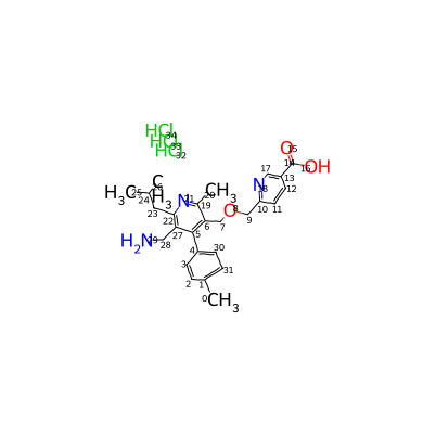 Cc1ccc(-c2c(COCc3ccc(C(=O)O)cn3)c(C)nc(CC(C)C)c2CN)cc1.Cl.Cl.Cl